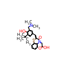 CN(C)Cc1cc(C=C2Sc3ccccc3N(CC(=O)O)C2=O)cc(C(C)(C)C)c1O